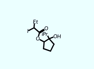 CCC(I)C(=O)OC1CCCC1(O)C(C)C